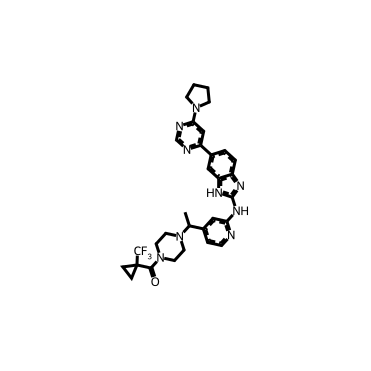 CC(c1ccnc(Nc2nc3ccc(-c4cc(N5CCCC5)ncn4)cc3[nH]2)c1)N1CCN(C(=O)C2(C(F)(F)F)CC2)CC1